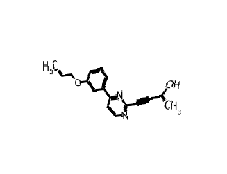 C=CCOc1cccc(-c2ccnc(C#CC(C)O)n2)c1